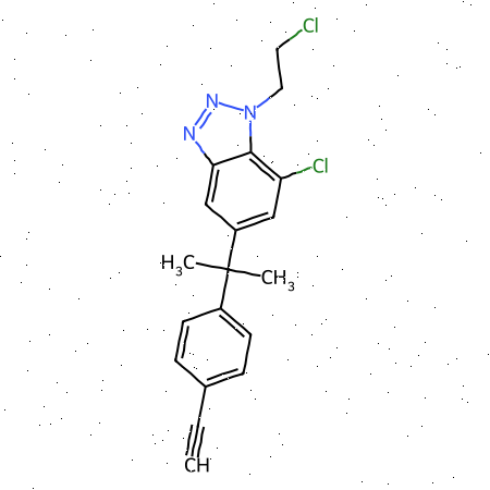 C#Cc1ccc(C(C)(C)c2cc(Cl)c3c(c2)nnn3CCCl)cc1